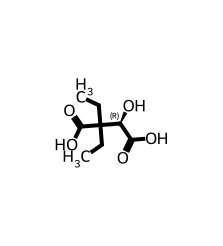 CCC(CC)(C(=O)O)[C@@H](O)C(=O)O